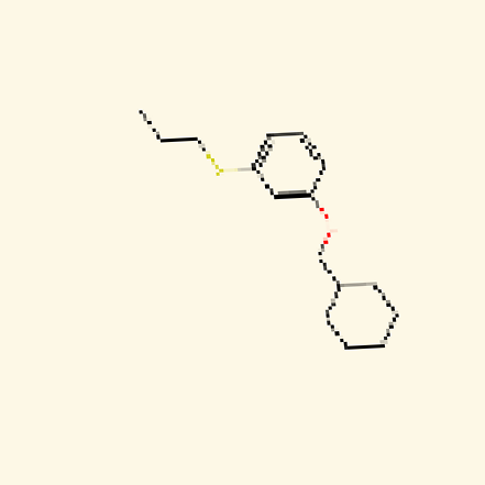 CCCSc1cccc(OCC2CCCCC2)c1